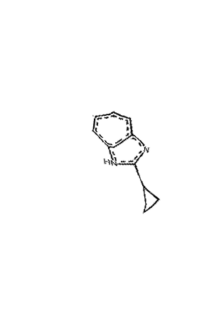 [c]1ccc2nc(C3CC3)[nH]c2c1